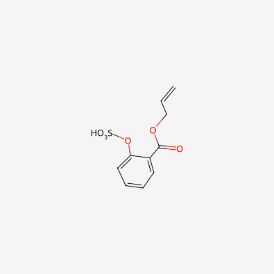 C=CCOC(=O)c1ccccc1OS(=O)(=O)O